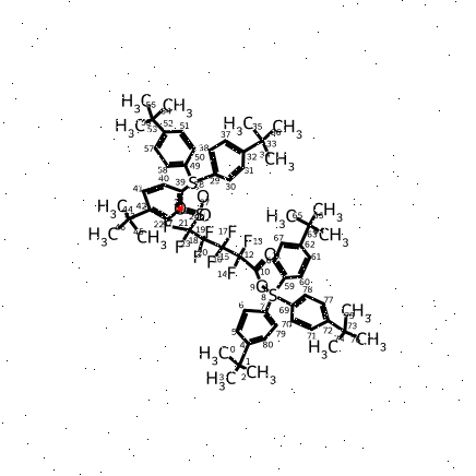 CC(C)(C)c1ccc(S(OC(=O)C(F)(F)C(F)(F)C(F)(F)C(F)(F)S(=O)(=O)OS(c2ccc(C(C)(C)C)cc2)(c2ccc(C(C)(C)C)cc2)c2ccc(C(C)(C)C)cc2)(c2ccc(C(C)(C)C)cc2)c2ccc(C(C)(C)C)cc2)cc1